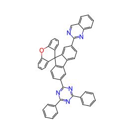 c1ccc(-c2nc(-c3ccccc3)nc(-c3ccc4c(c3)-c3ccc(-c5ncc6ccccc6n5)cc3C43c4ccccc4Oc4ccccc43)n2)cc1